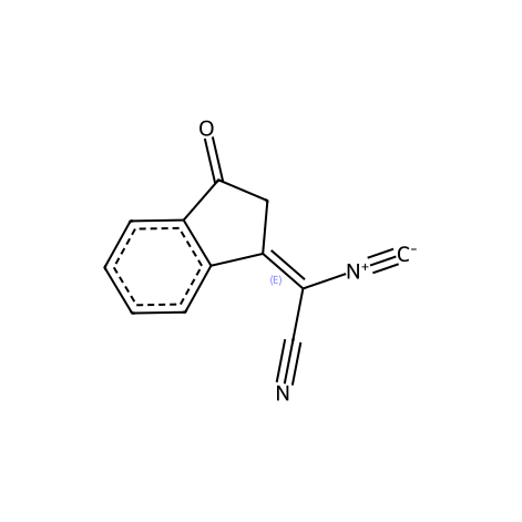 [C-]#[N+]/C(C#N)=C1\CC(=O)c2ccccc21